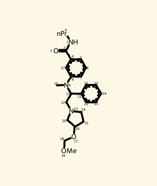 CCCNC(=O)c1cccc(N(C)C(CN2CCC(OCOC)C2)c2ccccc2)c1